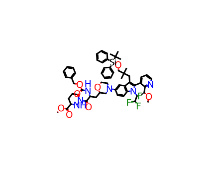 COC(=O)C1CCCN(C(=O)C(CC2CN(c3ccc4c(c3)c(CC(C)(C)CO[Si](c3ccccc3)(c3ccccc3)C(C)(C)C)c(-c3cccnc3[C@H](C)OC)n4C(F)C(F)F)CCO2)NC(=O)OCc2ccccc2)N1